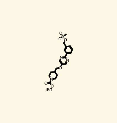 CC(C)(C)OC(=O)N1CCC(COc2cnc(-c3cccc(COS(C)(=O)=O)c3)nc2)CC1